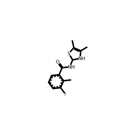 CC1=C(C)SC(NC(=O)c2cccc(I)c2C)N1